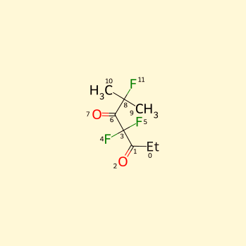 CCC(=O)C(F)(F)C(=O)C(C)(C)F